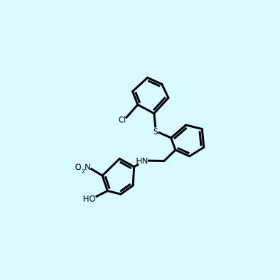 O=[N+]([O-])c1cc(NCc2ccccc2Sc2ccccc2Cl)ccc1O